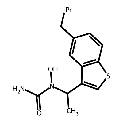 CC(C)Cc1ccc2scc(C(C)N(O)C(N)=O)c2c1